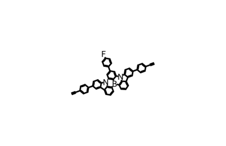 C#Cc1ccc(-c2ccc3c(c2)c2cccc4c2n3-c2cc(-c3ccc(F)cc3)cc3c2B4c2cccc4c5cc(-c6ccc(C#C)cc6)ccc5n-3c24)cc1